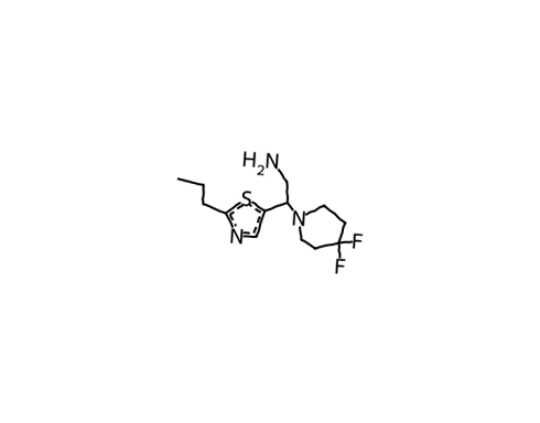 CCCc1ncc(C(CN)N2CCC(F)(F)CC2)s1